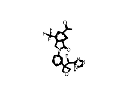 CC(=O)c1cc2c(c(C(F)(F)F)c1)CN(c1cccc(C3(C(F)c4nncn4C)COC3)c1)C2=O